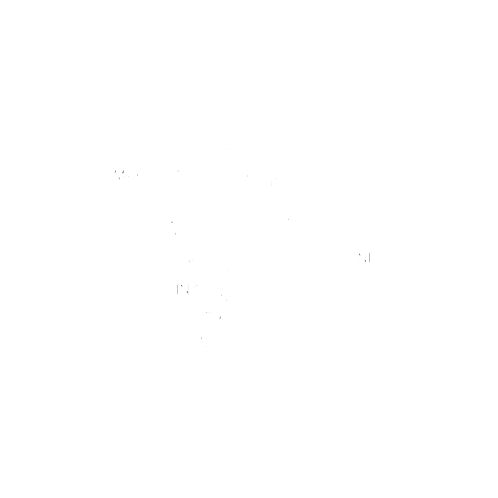 COc1ccc(OCCCN)c(CC2SC(=O)NC2=O)c1